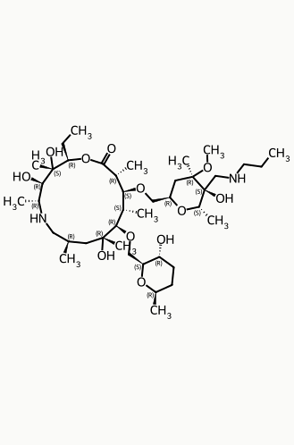 CCCNC[C@]1(O)[C@H](C)O[C@@H](CO[C@H]2[C@H](C)[C@@H](OC[C@@H]3O[C@H](C)CC[C@H]3O)[C@](C)(O)C[C@@H](C)CN[C@H](C)[C@@H](O)[C@](C)(O)[C@@H](CC)OC(=O)[C@@H]2C)C[C@@]1(C)OC